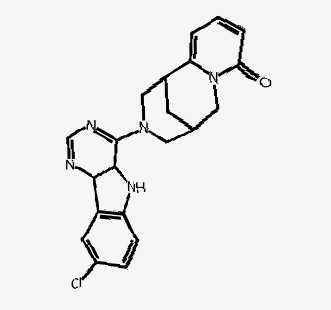 O=c1cccc2n1CC1CC2CN(C2=NC=NC3c4cc(Cl)ccc4NC23)C1